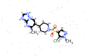 Cc1nc2ncnn2cc1C1CCN(S(=O)(=O)c2cnn(C)c2Cl)CC1